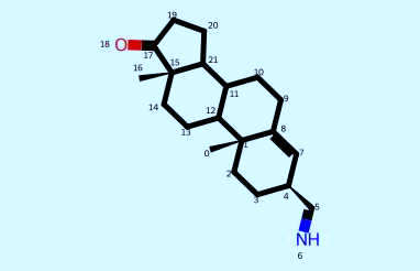 C[C@]12CC[C@H](C=N)C=C1CCC1C2CC[C@]2(C)C(=O)CCC12